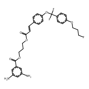 Nc1cc(N)cc(C(=O)OCCCOC(=O)/C=C/c2ccc(OC(F)(F)c3ccc(OCCCF)cc3)cc2)c1